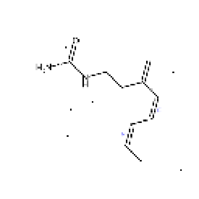 C=C(/C=C\C=C/C)CCNC(N)=O